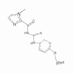 CCCCCOc1ccc(NC(=S)NC(=O)c2nccn2C)cc1